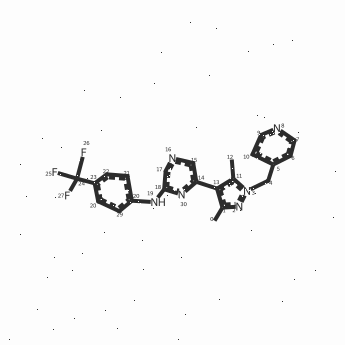 Cc1nn(Cc2ccncc2)c(C)c1-c1cncc(Nc2ccc(C(F)(F)F)cc2)n1